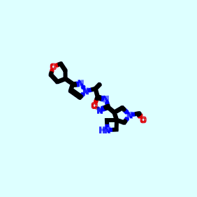 CC(c1nc(C2CN(C=O)CC23CNC3)no1)n1ccc(C2CCOCC2)n1